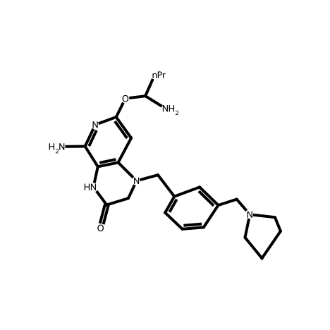 CCCC(N)Oc1cc2c(c(N)n1)NC(=O)CN2Cc1cccc(CN2CCCC2)c1